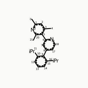 Cc1cc(C)c(-c2cc(-c3c(C(C)C)cccc3C(C)C)ccn2)c(C)n1